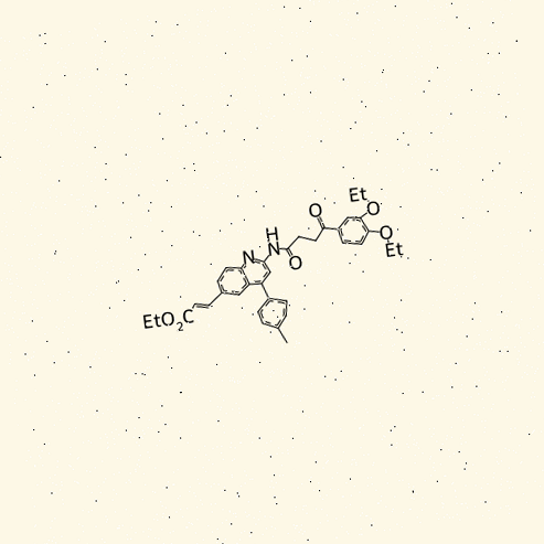 CCOC(=O)/C=C/c1ccc2nc(NC(=O)CCC(=O)c3ccc(OCC)c(OCC)c3)cc(-c3ccc(C)cc3)c2c1